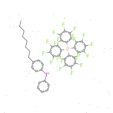 CCCCCCCCc1ccc([I+]c2ccccc2)cc1.Fc1c(F)c(F)c([B-](c2c(F)c(F)c(F)c(F)c2F)(c2c(F)c(F)c(F)c(F)c2F)c2c(F)c(F)c(F)c(F)c2F)c(F)c1F